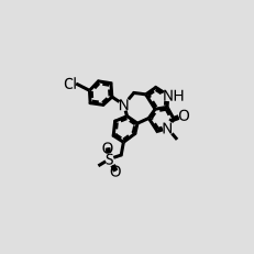 Cn1cc2c3c(c[nH]c3c1=O)CN(c1ccc(Cl)cc1)c1ccc(CS(C)(=O)=O)cc1-2